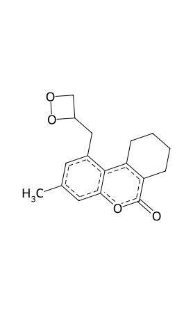 Cc1cc(CC2COO2)c2c3c(c(=O)oc2c1)CCCC3